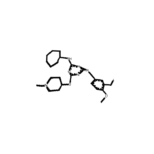 COc1ccc(Nc2nc(NC3CCCCCC3)nc(OC3CCN(C)CC3)n2)cc1CI